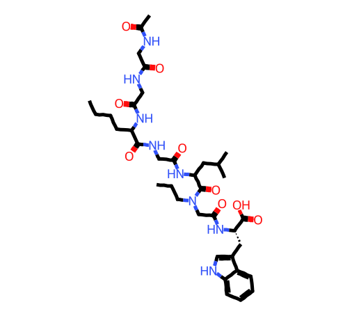 CCCCC(NC(=O)CNC(=O)CNC(C)=O)C(=O)NCC(=O)NC(CC(C)C)C(=O)N(CCC)CC(=O)N[C@@H](Cc1c[nH]c2ccccc12)C(=O)O